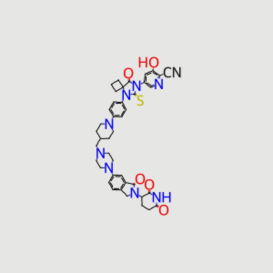 N#Cc1ncc(N2C(=O)C3(CCC3)N(c3ccc(N4CCC(CN5CCN(c6ccc7c(c6)C(=O)N(C6CCC(=O)NC6=O)C7)CC5)CC4)cc3)C2=S)cc1O